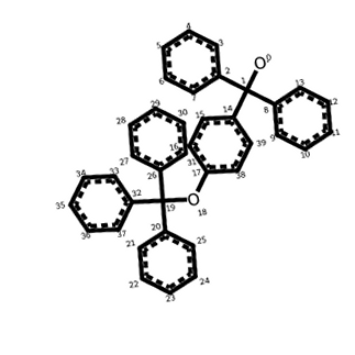 [O]C(c1ccccc1)(c1ccccc1)c1ccc(OC(c2ccccc2)(c2ccccc2)c2ccccc2)cc1